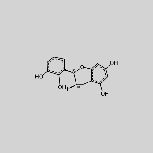 Oc1cc(O)c2c(c1)O[C@H](c1cccc(O)c1O)[C@H](F)C2